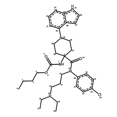 CCCCOC(=O)NC1(C(=O)N(CCCN(CC)CC)c2ccc(Cl)cc2)CCN(c2ncnc3[nH]ccc23)CC1